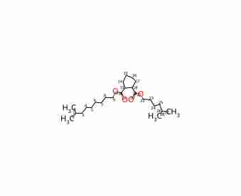 CC(C)CCCCCCCOC(=O)C1CCCCC1C(=O)OCCCCC(C)C